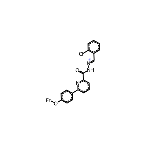 CCOc1ccc(-c2cccc(C(=O)N/N=C/c3ccccc3Cl)n2)cc1